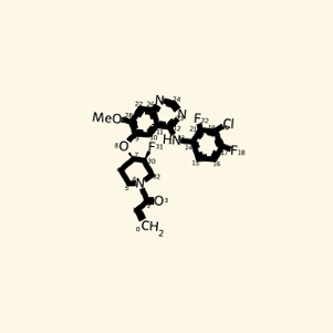 C=CC(=O)N1CC[C@H](Oc2cc3c(Nc4ccc(F)c(Cl)c4F)ncnc3cc2OC)[C@@H](F)C1